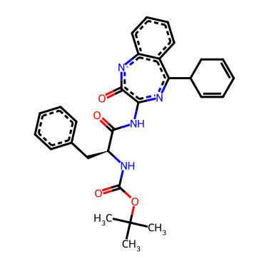 CC(C)(C)OC(=O)N[C@@H](Cc1ccccc1)C(=O)Nc1nc(C2C=CC=CC2)c2ccccc2nc1=O